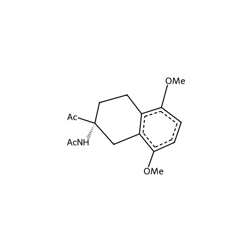 COc1ccc(OC)c2c1CC[C@](NC(C)=O)(C(C)=O)C2